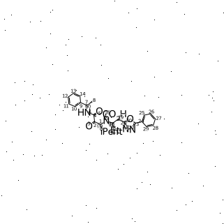 CCCC(C)[C@@H](C(=O)C(=O)N[C@H](C)c1ccccc1)N(C(=O)O)[C@H](CC)Cc1nnc(-c2ccccc2)o1